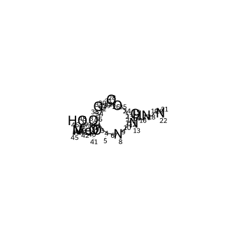 CO[C@]1(C)C[C@@H](C)CN(C)CCC(N(C)C(=O)CNCCN(C)C)CCCOC(=O)C(C)(C)C(=O)[C@H](C)[C@H]1O[C@@H]1O[C@H](C)C[C@H](N(C)C)[C@H]1O